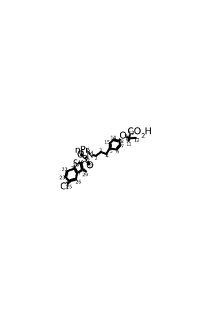 CCCN(CCCc1ccc(OC(C)(C)C(=O)O)cc1)S(=O)(=O)c1sc2ccc(Cl)cc2c1C